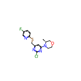 C[C@H]1COCCN1c1cc(CSc2ccc(F)cn2)nc(Cl)n1